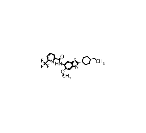 CC[C@H]1CC[C@H](c2nc3cc(OC)c(NC(=O)c4cccc(C(F)(F)F)n4)cc3s2)CC1